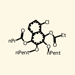 CCCCCOc1c(OCCCCC)c(OC(=O)CC)c2c(Cl)cccc2c1OC(=O)CCC